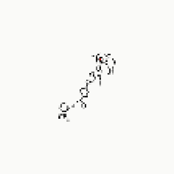 C[C@H]1[C@H](NC(=O)COc2ccc(C(=O)/C=C/c3cccc(C(F)(F)F)c3)cc2)O[C@@H]2O[C@@]3(C)CC[C@H]4[C@H](C)CC[C@@H]1[C@@]24OO3